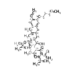 COCCCOc1cc(CC(C[C@H](NC(=O)OC(C)(C)C)[C@@H](O)C[C@H](C(=O)N(CC(C)C)C(N)=O)C(C)C)C(C)C)ccc1OC